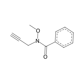 C#CCN(OC)C(=O)c1ccccc1